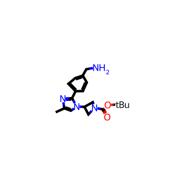 Cc1cn(C2CN(C(=O)OC(C)(C)C)C2)c(-c2ccc(CN)cc2)n1